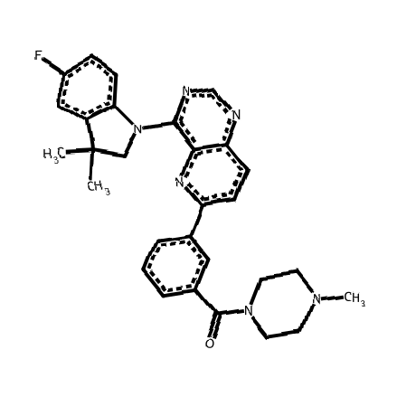 CN1CCN(C(=O)c2cccc(-c3ccc4ncnc(N5CC(C)(C)c6cc(F)ccc65)c4n3)c2)CC1